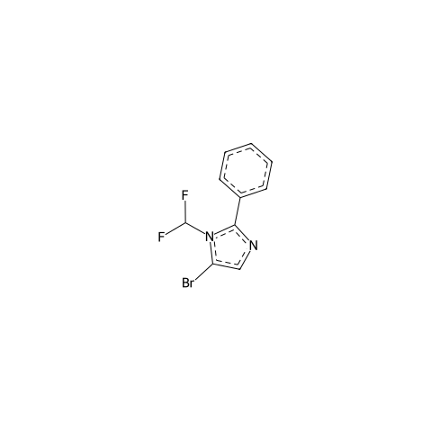 FC(F)n1c(Br)cnc1-c1ccccc1